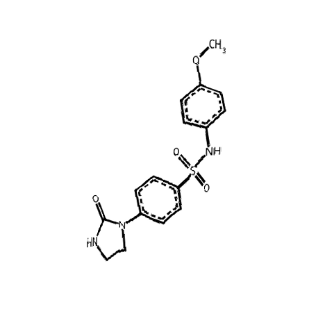 COc1ccc(NS(=O)(=O)c2ccc(N3CCNC3=O)cc2)cc1